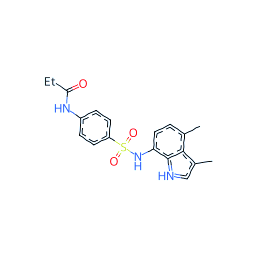 CCC(=O)Nc1ccc(S(=O)(=O)Nc2ccc(C)c3c(C)c[nH]c23)cc1